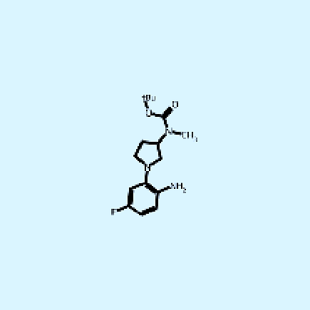 CN(C(=O)OC(C)(C)C)C1CCN(c2cc(F)ccc2N)C1